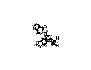 O=c1c2cccnc2cnn1Cc1nc([C@@]23C4[C@H]2[C@H]3CN4c2ccc3ncsc3c2)no1